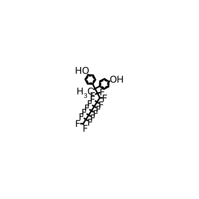 CC(c1ccc(O)cc1)(c1ccc(O)cc1)C(F)(F)C(F)C(F)(F)C(F)(F)C(F)(F)C(F)(F)C(F)(F)C(F)F